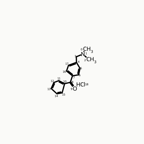 CN(C)Cc1ccc(C(=O)c2ccccc2)cc1.Cl